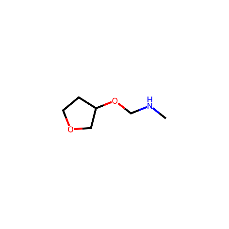 CNCOC1CCOC1